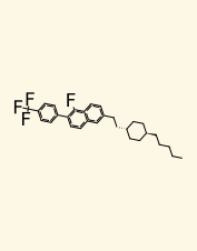 CCCCC[C@H]1CC[C@H](CCc2ccc3c(F)c(-c4ccc(C(F)(F)F)cc4)ccc3c2)CC1